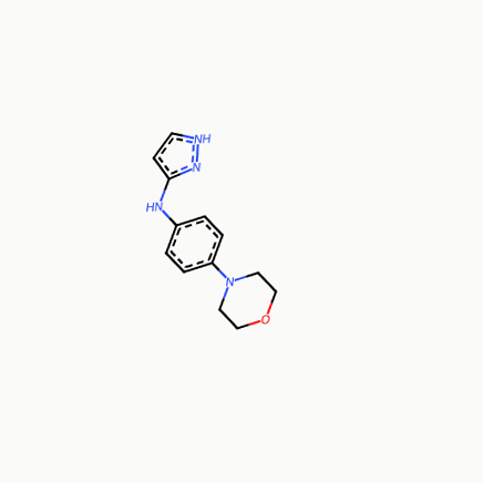 c1cc(Nc2ccc(N3CCOCC3)cc2)n[nH]1